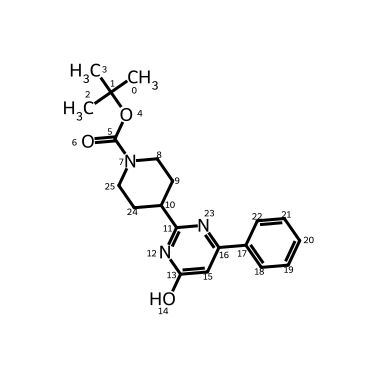 CC(C)(C)OC(=O)N1CCC(c2nc(O)cc(-c3ccccc3)n2)CC1